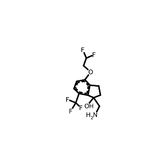 NCC1(O)CCc2c(OCC(F)F)ccc(C(F)(F)F)c21